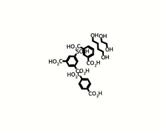 O=C(O)c1cc(C(=O)O)cc(S(=O)(=O)O)c1.O=C(O)c1ccc(C(=O)O)cc1.O=C(O)c1cccc(C(=O)O)c1.OCCCCO.OCCO